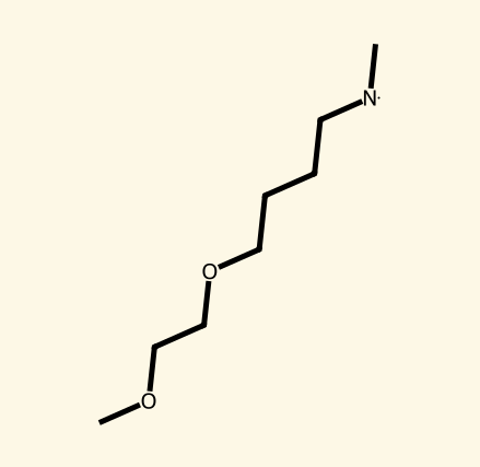 C[N]CCCCOCCOC